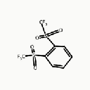 O=S(=O)(c1[c]cccc1S(=O)(=O)C(F)(F)F)C(F)(F)F